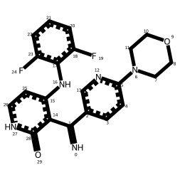 N=C(c1ccc(N2CCOCC2)nc1)c1c(Nc2c(F)cccc2F)cc[nH]c1=O